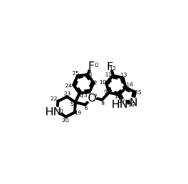 Fc1ccc(C2(COCc3cc(F)cc4cn[nH]c34)CCNCC2)cc1